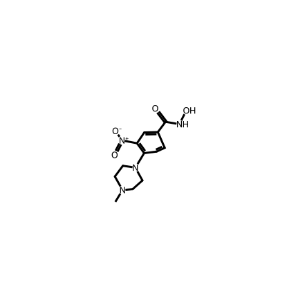 CN1CCN(c2ccc(C(=O)NO)cc2[N+](=O)[O-])CC1